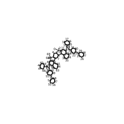 CC1(C)c2cc3c(cc2-c2c1cc(N(c1ccccc1)c1ccc(-c4ccccc4)cc1)c1ccccc21)-c1c(cc(N(c2ccccc2)c2ccc(-c4ccccc4)cc2)c2ccccc12)C3(C)C